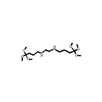 COC(CCCNCCNCCCC(OC)(OC)OC)(OC)OC